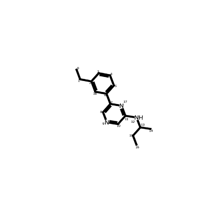 CCc1cccc(-c2cncc(NC(C)CC)n2)c1